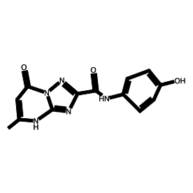 Cc1cc(=O)n2nc(C(=O)Nc3ccc(O)cc3)nc2[nH]1